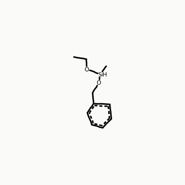 CCO[SiH](C)OCc1ccccc1